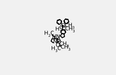 C=CCC1(C(=O)NC2CCc3ccc(O[Si](c4ccccc4)(c4ccccc4)C(C)(C)C)cc32)CCCN1C(=O)OC(C)(C)C